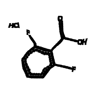 Cl.O=C(O)c1c(F)cccc1F